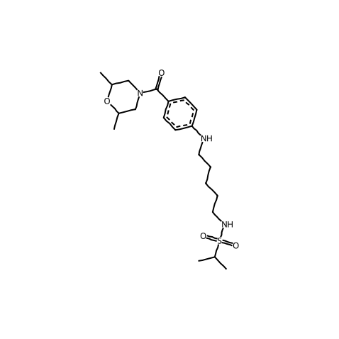 CC1CN(C(=O)c2ccc(NCCCCCNS(=O)(=O)C(C)C)cc2)CC(C)O1